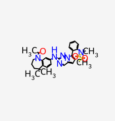 CC(=O)N1CCCC(C)(C)c2ccc(Nc3ncc4ccc(-c5ccccc5N(C)S(C)(=O)=O)n4n3)cc21